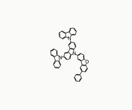 c1ccc(-c2ccc3oc4ccc(-n5c6ccc(-n7c8ccccc8c8ccccc87)cc6c6cc(-n7c8ccccc8c8ccccc87)ccc65)cc4c3c2)cc1